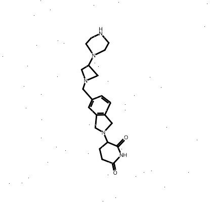 O=C1CCC(N2Cc3ccc(CN4CC(N5CCNCC5)C4)cc3C2)C(=O)N1